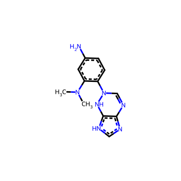 CN(C)c1cc(N)ccc1N1C=Nc2nc[nH]c2N1